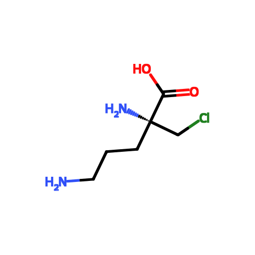 NCCC[C@](N)(CCl)C(=O)O